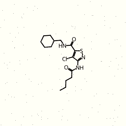 CCCCC(=O)Nc1nsc(C(=O)NCC2CCCCC2)c1Cl